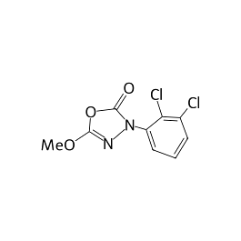 COc1nn(-c2cccc(Cl)c2Cl)c(=O)o1